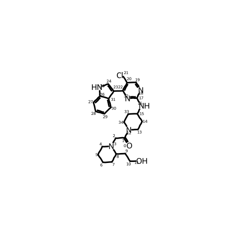 O=C(CN1CCCCC1CCO)N1CCC(Nc2ncc(Cl)c(-c3c[nH]c4ccccc34)n2)CC1